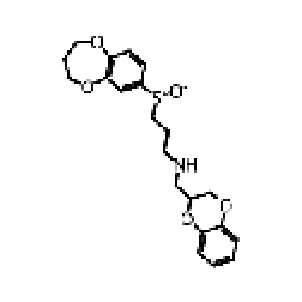 [O-][S+](CCCNCC1COc2ccccc2O1)c1ccc2c(c1)OCCCO2